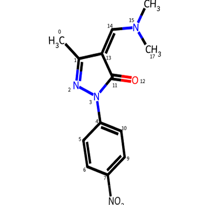 CC1=NN(c2ccc([N+](=O)[O-])cc2)C(=O)C1=CN(C)C